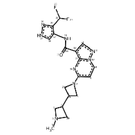 CN1CC(C2CN(c3ccn4ncc(C(=O)Nc5c[nH]nc5C(F)F)c4n3)C2)C1